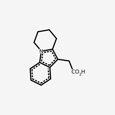 O=C(O)Cc1c2n(c3ccccc13)CCCC2